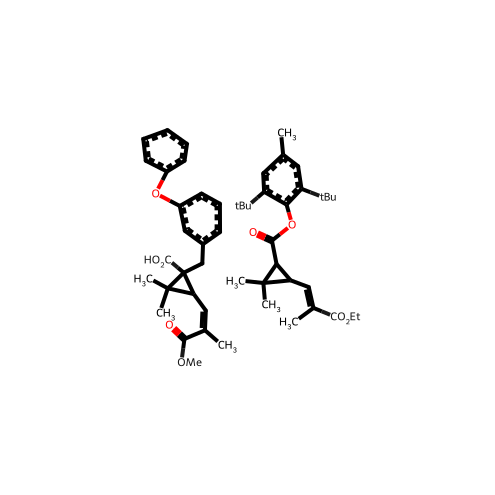 CCOC(=O)C(C)=CC1C(C(=O)Oc2c(C(C)(C)C)cc(C)cc2C(C)(C)C)C1(C)C.COC(=O)C(C)=CC1C(C)(C)C1(Cc1cccc(Oc2ccccc2)c1)C(=O)O